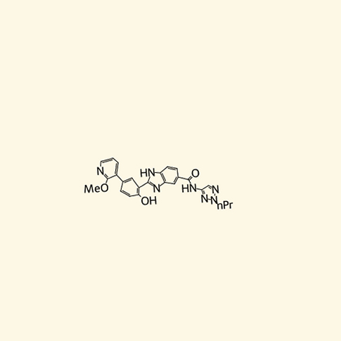 CCCn1ncc(NC(=O)c2ccc3[nH]c(-c4cc(-c5cccnc5OC)ccc4O)nc3c2)n1